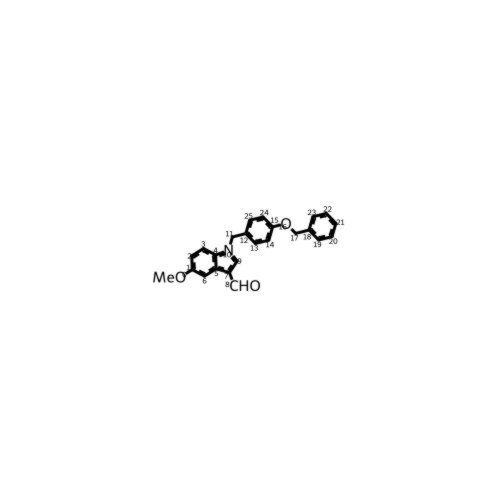 COc1ccc2c(c1)c(C=O)cn2Cc1ccc(OCc2ccccc2)cc1